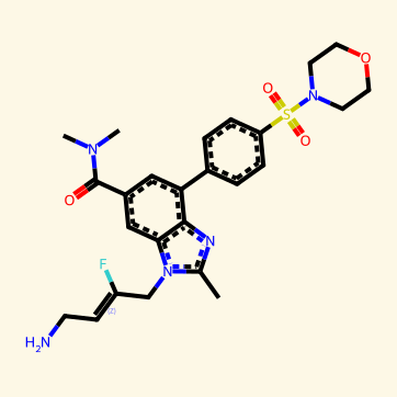 Cc1nc2c(-c3ccc(S(=O)(=O)N4CCOCC4)cc3)cc(C(=O)N(C)C)cc2n1C/C(F)=C/CN